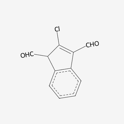 O=CC1=C(Cl)C(C=O)c2ccccc21